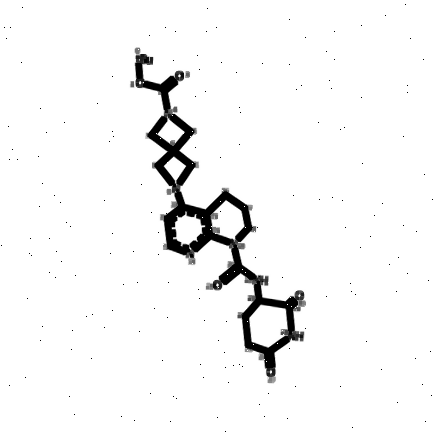 CC(C)(C)OC(=O)N1CC2(C1)CN(c1ccnc3c1CCCN3C(=O)NC1CCC(=O)NC1=O)C2